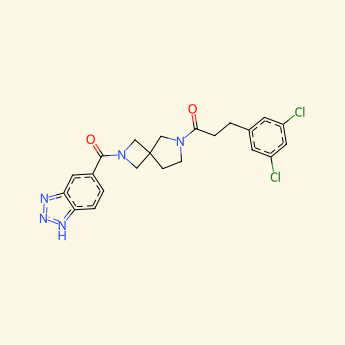 O=C(CCc1cc(Cl)cc(Cl)c1)N1CCC2(C1)CN(C(=O)c1ccc3[nH]nnc3c1)C2